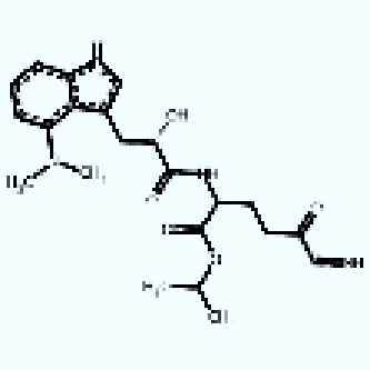 CC(C)OC(=O)[C@H](CCC(=O)C=N)NC(=O)[C@@H](O)Cc1c[nH]c2cccc(N(C)C)c12